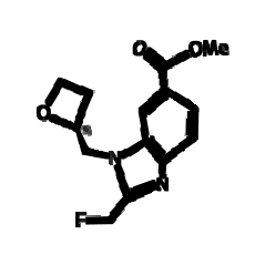 COC(=O)c1ccc2nc(CF)n(C[C@@H]3CCO3)c2c1